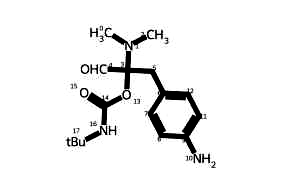 CN(C)C(C=O)(Cc1ccc(N)cc1)OC(=O)NC(C)(C)C